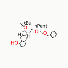 CCCCC[C@@H](CC[C@H]1C(O[Si](C)(C)C(C)(C)C)C[C@@H]2Cc3c(O)cccc3C[C@@H]21)OCCOCc1ccccc1